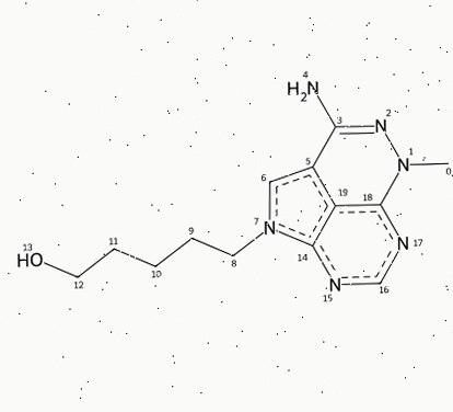 CN1N=C(N)c2cn(CCCCCO)c3ncnc1c23